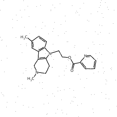 Cc1ccc2c(c1)c1c(n2CCOC(=O)c2ccccn2)CCN(C)C1